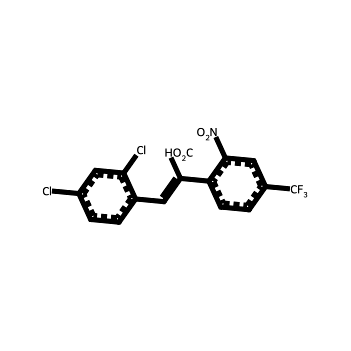 O=C(O)C(=Cc1ccc(Cl)cc1Cl)c1ccc(C(F)(F)F)cc1[N+](=O)[O-]